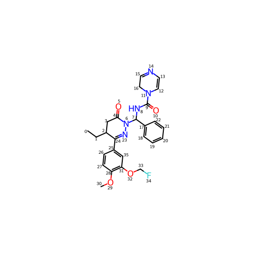 CCC1CC(=O)N(C(NC(=O)N2C=CN=CC2)c2ccccc2)N=C1c1ccc(OC)c(OCF)c1